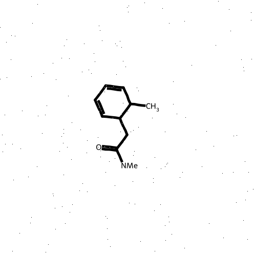 CNC(=O)CC1C=CC=CC1C